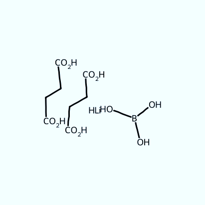 O=C(O)CCC(=O)O.O=C(O)CCC(=O)O.OB(O)O.[LiH]